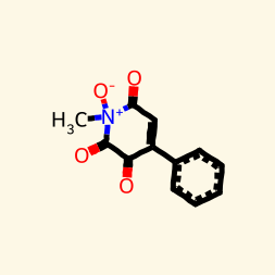 C[N+]1([O-])C(=O)C=C(c2ccccc2)C(=O)C1=O